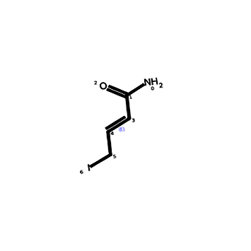 NC(=O)/C=C/CI